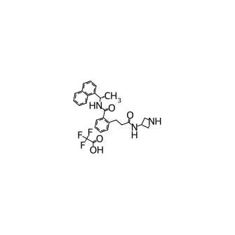 C[C@@H](NC(=O)c1ccccc1CCC(=O)NC1CNC1)c1cccc2ccccc12.O=C(O)C(F)(F)F